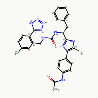 COC(=O)Nc1ccc(-c2nc([C@H](Cc3ccccc3)NC(=O)NCc3cc(Cl)ccc3-c3nnn[nH]3)[nH]c2Cl)cc1